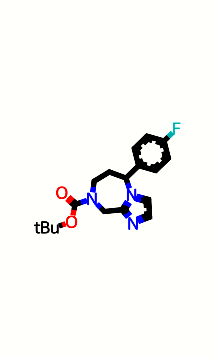 CC(C)(C)OC(=O)N1CCC(c2ccc(F)cc2)n2ccnc2C1